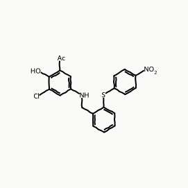 CC(=O)c1cc(NCc2ccccc2Sc2ccc([N+](=O)[O-])cc2)cc(Cl)c1O